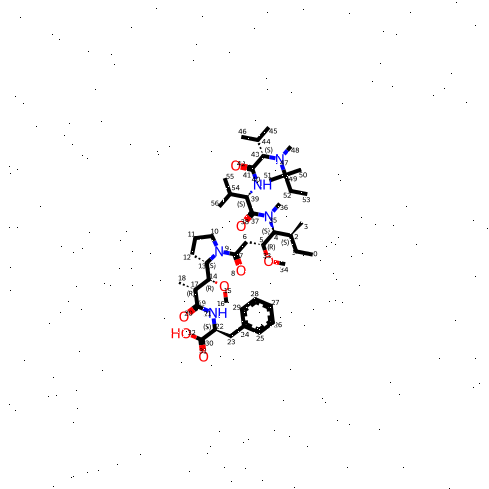 CC[C@H](C)[C@@H]([C@@H](CC(=O)N1CCC[C@H]1[C@H](OC)[C@@H](C)C(=O)N[C@@H](Cc1ccccc1)C(=O)O)OC)N(C)C(=O)[C@@H](NC(=O)[C@H](C(C)C)N(C)C(C)(C)CC)C(C)C